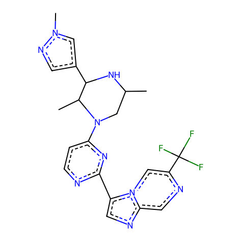 CC1CN(c2ccnc(-c3cnc4cnc(C(F)(F)F)cn34)n2)C(C)C(c2cnn(C)c2)N1